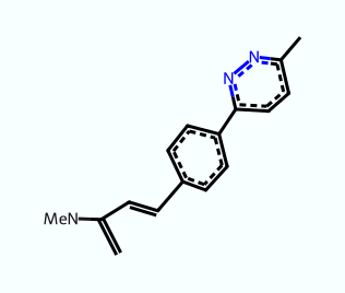 C=C(/C=C/c1ccc(-c2ccc(C)nn2)cc1)NC